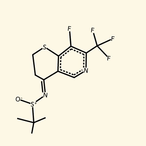 CC(C)(C)[S+]([O-])N=C1CCSc2c1cnc(C(F)(F)F)c2F